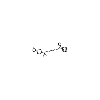 COc1ccc(C(=O)CCCCCCC[C]23[CH]4[CH]5[CH]6[CH]2[Fe]56432789[CH]3[CH]2[CH]7[C]8(C(C)=O)[CH]39)cc1